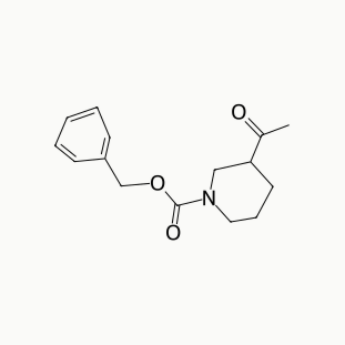 CC(=O)C1CCCN(C(=O)OCc2ccccc2)C1